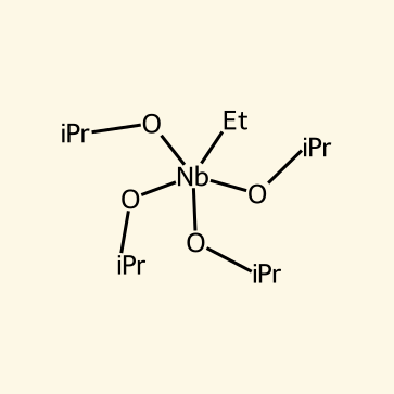 C[CH2][Nb]([O]C(C)C)([O]C(C)C)([O]C(C)C)[O]C(C)C